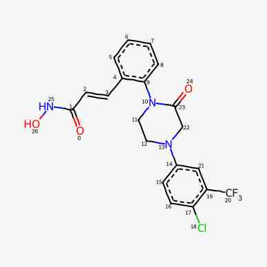 O=C(/C=C/c1ccccc1N1CCN(c2ccc(Cl)c(C(F)(F)F)c2)CC1=O)NO